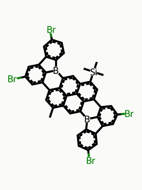 Cc1cc2c3c(cc4c([Si](C)(C)C)cc5c6c(cc1c3c46)B1c3ccc(Br)cc3-c3cc(Br)cc-5c31)B1c3ccc(Br)cc3-c3cc(Br)cc-2c31